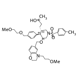 COCCCN1CCOc2ccc(CO[C@H]3CN(S(=O)(=O)c4ccc(C)cc4)C[C@@H](CC[C@@H](C)O)[C@@H]3c3ccc(COCCOC)cc3)cc21